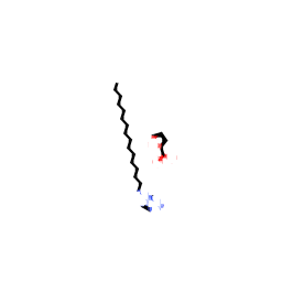 CCCCCCCCCCCCCCCCn1cc[n+](C)c1.O=C([O-])c1ccco1